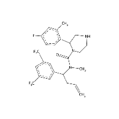 C=CCC(c1cc(C(F)(F)F)cc(C(F)(F)F)c1)N(C)C(=O)N1CCNCC1c1ccc(F)cc1C